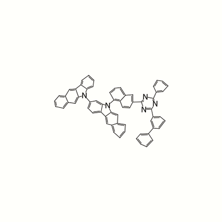 c1ccc(-c2cccc(-c3nc(-c4ccccc4)nc(-c4ccc5c(-n6c7cc(-n8c9ccccc9c9cc%10ccccc%10cc98)ccc7c7cc8ccccc8cc76)cccc5c4)n3)c2)cc1